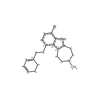 CN1CCc2[nH]c3c(Br)ccc(CCC4=CC=CCC4)c3c2CC1